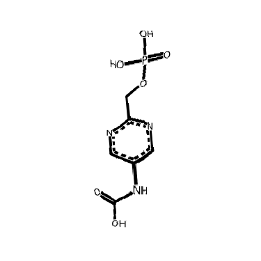 O=C(O)Nc1cnc(COP(=O)(O)O)nc1